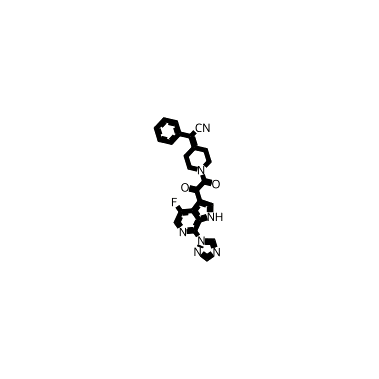 N#CC(=C1CCN(C(=O)C(=O)c2c[nH]c3c(-n4cncn4)ncc(F)c23)CC1)c1ccccc1